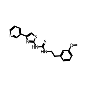 COc1cccc(CCNC(=S)Nc2nc(-c3cccnc3)cs2)c1